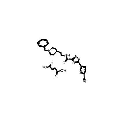 N#Cc1ccc(-c2nc(C(=O)NCCC3CCN(Cc4ccccc4)CC3)no2)s1.O=C(O)C=CC(=O)O